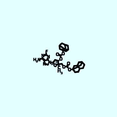 C[C@]1(COC(=O)OC23CCC4CCC(CC4C2)C3)O[C@@H](n2cnc3c(N)nc(F)nc32)C[C@@H]1OC(=O)OC12CC3CC(CC(C3)C1)C2